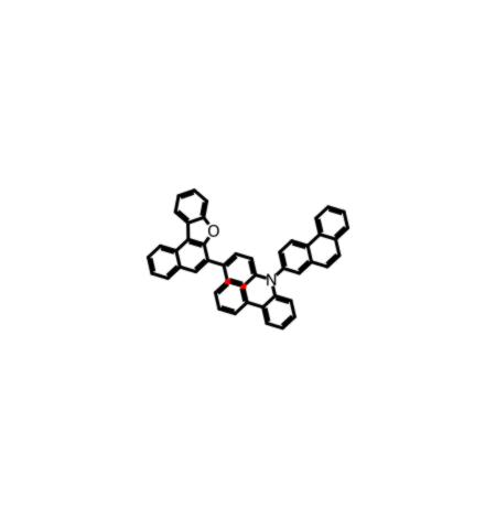 c1ccc(-c2ccccc2N(c2ccc(-c3cc4ccccc4c4c3oc3ccccc34)cc2)c2ccc3c(ccc4ccccc43)c2)cc1